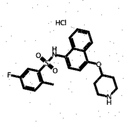 Cc1ccc(F)cc1S(=O)(=O)Nc1ccc(OC2CCNCC2)c2ccccc12.Cl